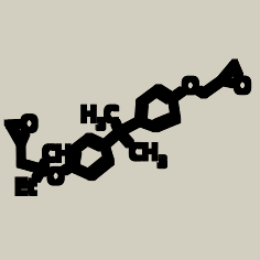 CCC(C)(CC1CO1)Oc1ccc(C(C)(C)c2ccc(OCC3CO3)cc2)cc1